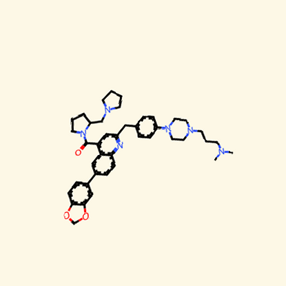 CN(C)CCCN1CCN(c2ccc(Cc3cc(C(=O)N4CCCC4CN4CCCC4)c4cc(-c5ccc6c(c5)OCO6)ccc4n3)cc2)CC1